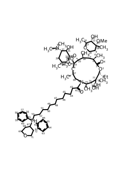 CC[C@H]1OC(=O)[C@H](C)[C@@H](C2C[C@@](C)(OC)[C@@H](O)[C@H](C)O2)[C@H](C)[C@@H](O[C@@H]2O[C@H](C)C[C@H](N(C)C)[C@H]2O)[C@](C)(O)C[C@@H](C)CN(C(=O)CCCCCCCCCCC[PH](c2ccccc2)(c2ccccc2)C2CCOCC2)[C@H](C)[C@@H](O)[C@]1(C)O